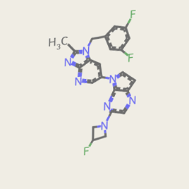 Cc1nc2ncc(-n3ccc4ncc(N5CC(F)C5)nc43)cc2n1Cc1cc(F)cc(F)c1